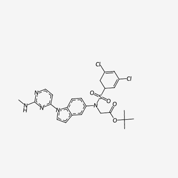 CNc1nccc(-n2ccc3cc(N(CC(=O)OC(C)(C)C)S(=O)(=O)C4C=C(Cl)C=C(Cl)C4)ccc32)n1